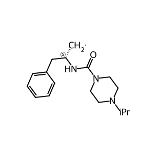 [CH2][C@@H](Cc1ccccc1)NC(=O)N1CCN(C(C)C)CC1